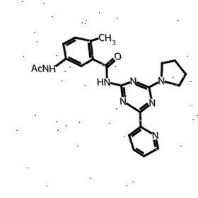 CC(=O)Nc1ccc(C)c(C(=O)Nc2nc(-c3ccccn3)nc(N3CCCC3)n2)c1